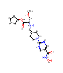 CC(C)(C)OC[C@H](NCC1CCN(c2ncc(C(=O)NO)cn2)CC1)C(=O)OC1CCCC1